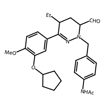 CCC1CC(C=O)N(Cc2ccc(NC(C)=O)cc2)N=C1c1ccc(OC)c(OC2CCCC2)c1